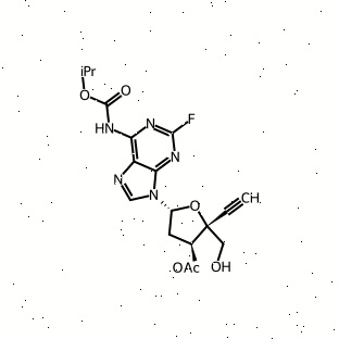 C#C[C@]1(CO)O[C@@H](n2cnc3c(NC(=O)OC([CH2])[CH2])nc(F)nc32)C[C@@H]1OC(C)=O